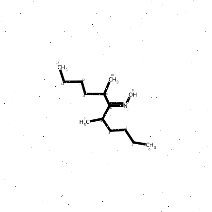 CCCCC(C)C(=NO)C(C)CCCC